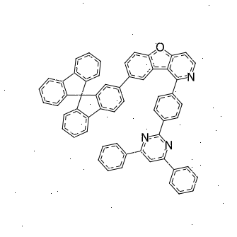 c1ccc(-c2cc(-c3ccccc3)nc(-c3ccc(-c4nccc5oc6ccc(-c7ccc8c(c7)C7(c9ccccc9-c9ccccc97)c7ccccc7-8)cc6c45)cc3)n2)cc1